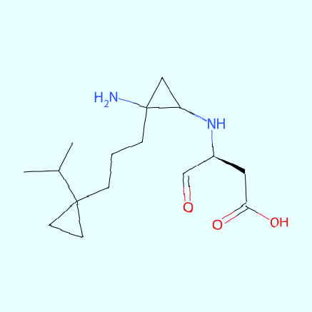 CC(C)C1(CCCC2(N)CC2N[C@H](C=O)CC(=O)O)CC1